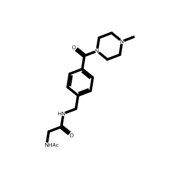 CC(=O)NCC(=O)NCc1ccc(C(=O)N2CCN(C)CC2)cc1